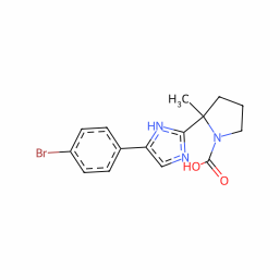 CC1(c2ncc(-c3ccc(Br)cc3)[nH]2)CCCN1C(=O)O